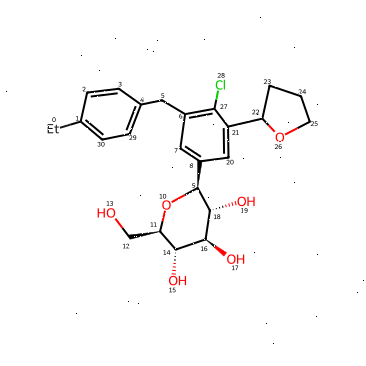 CCc1ccc(Cc2cc([C@@H]3O[C@H](CO)[C@@H](O)[C@H](O)[C@H]3O)cc(C3CCCO3)c2Cl)cc1